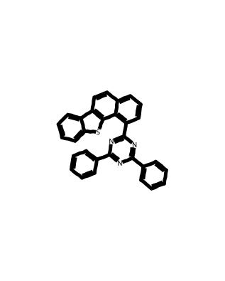 c1ccc(-c2nc(-c3ccccc3)nc(-c3cccc4ccc5c6ccccc6sc5c34)n2)cc1